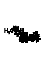 Cn1ncc2cc(Nc3cccc4ccn(CC(=O)N5CCC[C@H]5C(F)(F)F)c(=O)c34)ccc21